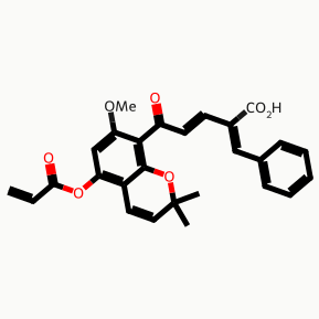 C=CC(=O)Oc1cc(OC)c(C(=O)C=CC(=Cc2ccccc2)C(=O)O)c2c1C=CC(C)(C)O2